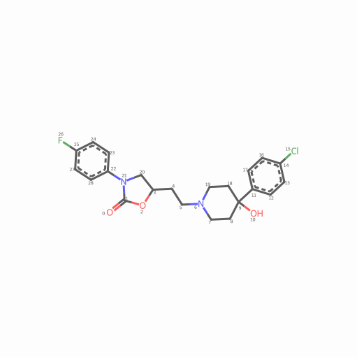 O=C1OC(CCN2CCC(O)(c3ccc(Cl)cc3)CC2)CN1c1ccc(F)cc1